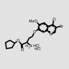 COc1cc2c(Cl)c(Br)cnc2cc1OCCC(N)C(=O)OC1CCCC1.Cl.Cl